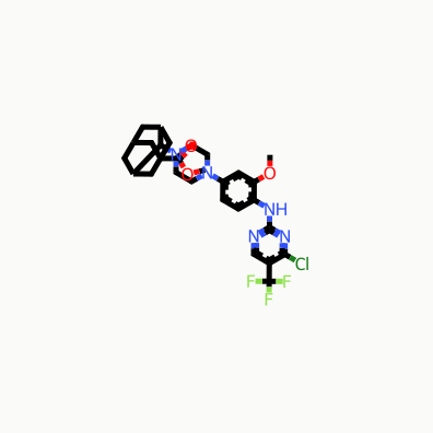 COC(=O)C12CC3CC(C1)C(N1CCN(c4ccc(Nc5ncc(C(F)(F)F)c(Cl)n5)c(OC)c4)CC1)C(C3)C2